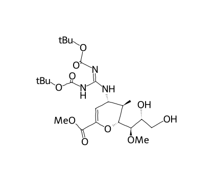 COC(=O)C1=C[C@H](N/C(=N/C(=O)OC(C)(C)C)NC(=O)OC(C)(C)C)[C@@H](C)[C@H]([C@H](OC)[C@H](O)CO)O1